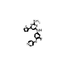 Nc1nc(Nc2ccc(Sc3ccncc3)c(F)c2)cc(-c2cccs2)n1